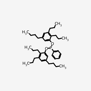 CCCCc1cc(CCC)c(CCC)c(OP(Oc2cc(CCCC)cc(CCC)c2CCC)c2ccccc2)c1